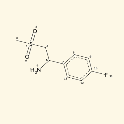 CS(=O)(=O)CC(N)c1ccc(F)cc1